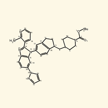 CC(C)(C)OC(=O)N1CCC(CC2CCc3cc(-n4c(-c5cccnc5N)nc5ccc(-n6cccn6)nc54)ccc32)CC1